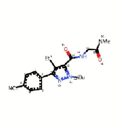 CCc1c(-c2ccc(C#N)cc2)nn(C(C)CC)c1C(=O)NCC(=O)NC